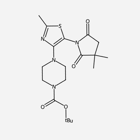 Cc1nc(N2CCN(C(=O)OC(C)(C)C)CC2)c(N2C(=O)CC(C)(C)C2=O)s1